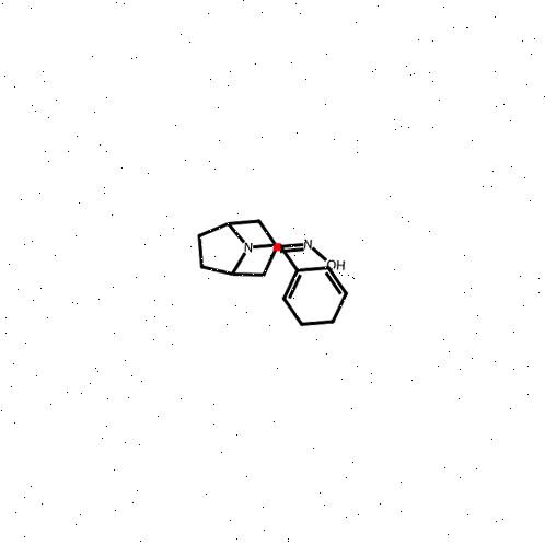 ON=C1CC2CCC(C1)N2CC1=CCCC=C1